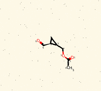 CC(=O)OCC1C[C@@H]1C=O